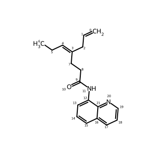 C=CC/C(=C/CC)CCC(=O)Nc1cccc2cccnc12